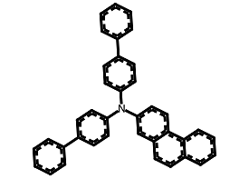 c1ccc(-c2ccc(N(c3ccc(-c4ccccc4)cc3)c3ccc4c(ccc5ccccc54)c3)cc2)cc1